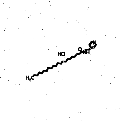 CCCCCCCCCCCCCCCCCCCCCC(=O)NCCc1ccncc1.Cl